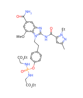 CCOC(=O)CNP(=O)(NCC(=O)OCC)Oc1ccc(CCn2c(NC(=O)c3cc(C)nn3CC)nc3cc(C(N)=O)cc(OC)c32)cc1